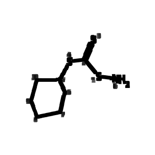 NSC(=S)SC1CCCCC1